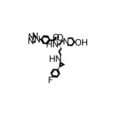 O=C(N[C@@H](CCCNC1C[C@H]1c1ccc(F)cc1)C(=O)N1CCC(O)CC1)c1ccc(-n2cnnn2)cc1